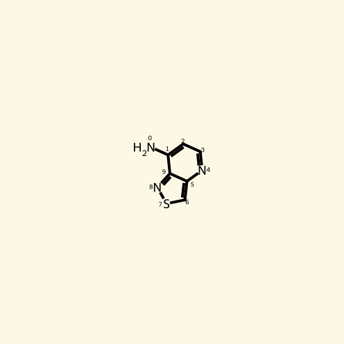 Nc1ccnc2csnc12